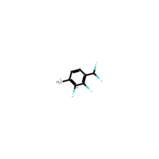 Cc1ccc(C(F)F)c(F)c1F